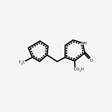 O=C(O)c1c(Cc2cccc(C(F)(F)F)c2)cc[nH]c1=O